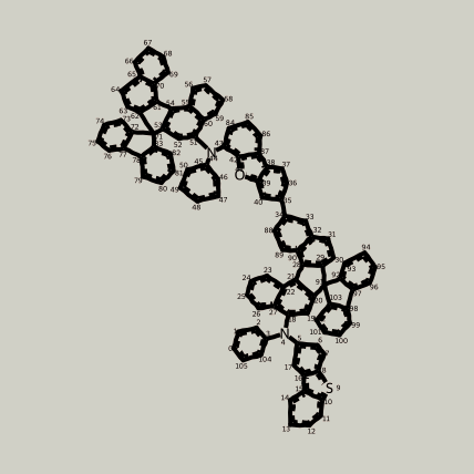 c1ccc(N(c2ccc3sc4ccccc4c3c2)c2cc3c(c4ccccc24)-c2c(ccc4cc(-c5ccc6c(c5)oc5c(N(c7ccccc7)c7cc8c(c9ccccc79)-c7c(ccc9ccccc79)C87c8ccccc8-c8ccccc87)cccc56)ccc24)C32c3ccccc3-c3ccccc32)cc1